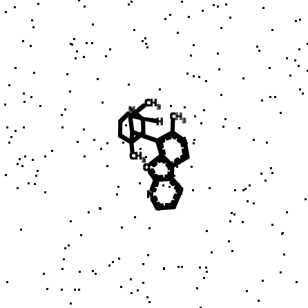 Cc1ccc2c(oc3ncccc32)c1C1[C@@H](C)N2CCC1(C)CC2